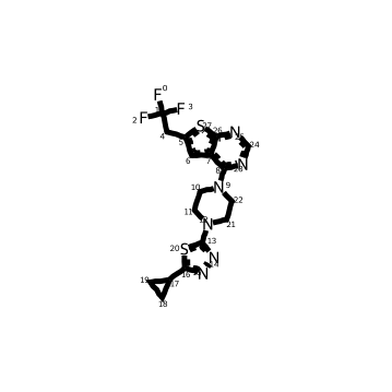 FC(F)(F)Cc1cc2c(N3CCN(c4nnc(C5CC5)s4)CC3)ncnc2s1